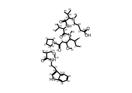 CCC(C)C(C(CC(=O)N1CCC[C@H]1C(OC)C(C)C(=O)NCCc1c[nH]c2ccccc12)OC)N(C)C(=O)C(NC(=O)C(C(C)C)N(C)CCCC(=O)O)C(C)C